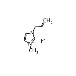 C=CCn1cc[n+](C)c1.[F-]